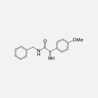 COc1ccc(C(=N)C(=O)NCc2ccccc2)cc1